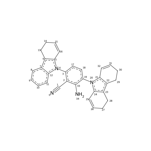 N#Cc1c(-n2c3c(c4ccccc42)CCC=C3)ccc(-n2c3c(c4c2C=CCC4)CCC=C3)c1N